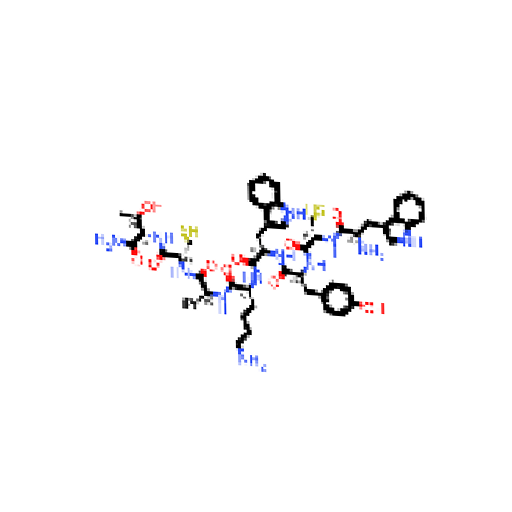 CC(C)[C@H](NC(=O)[C@H](CCCCN)NC(=O)[C@@H](Cc1c[nH]c2ccccc12)NC(=O)[C@H](Cc1ccc(O)cc1)NC(=O)[C@H](CS)NC(=O)[C@H](N)Cc1c[nH]c2ccccc12)C(=O)N[C@@H](CS)C(=O)N[C@H](C(N)=O)[C@@H](C)O